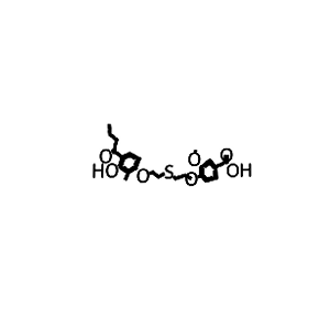 CCCC(=O)c1ccc(OCCSCCOc2ccc(C(=O)O)cc2OC)c(C)c1O